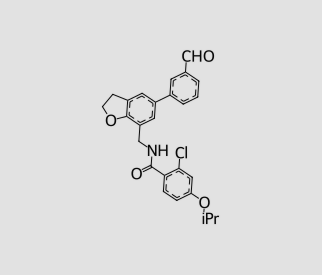 CC(C)Oc1ccc(C(=O)NCc2cc(-c3cccc(C=O)c3)cc3c2OCC3)c(Cl)c1